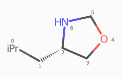 CC(C)C[C@H]1COCN1